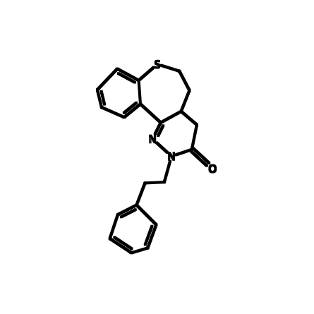 O=C1CC2CCSc3ccccc3C2=NN1CCc1ccccc1